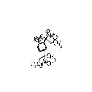 CCC(C)(c1ccc(O)c(C(C)(CC)[N+](=O)[O-])c1)[N+](=O)[O-]